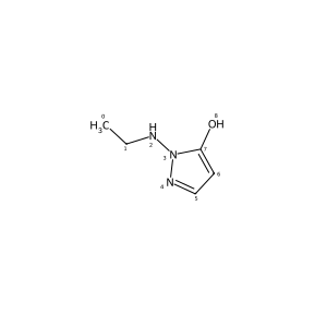 CCNn1nccc1O